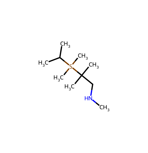 CNCC(C)(C)S(C)(C)C(C)C